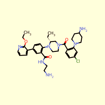 CCOc1ncccc1-c1ccc(N2CCN(C(=O)c3ccc(Cl)cc3N3CCC(N)CC3)C[C@H]2CC)c(C(=O)NCCN)c1